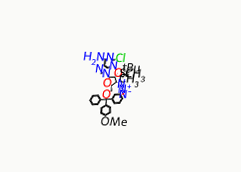 COc1ccc(C(OC[C@H]2O[C@@H](n3cnc4c(N)nc(Cl)nc43)[C@H](O[Si](C)(C)C(C)(C)C)[C@@H]2N=[N+]=[N-])(c2ccccc2)c2ccccc2)cc1